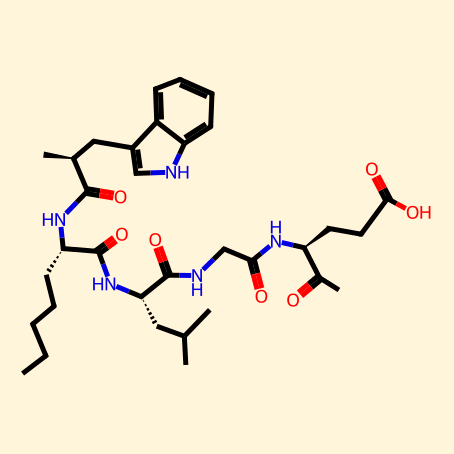 CCCCC[C@H](NC(=O)[C@@H](C)Cc1c[nH]c2ccccc12)C(=O)N[C@@H](CC(C)C)C(=O)NCC(=O)N[C@@H](CCC(=O)O)C(C)=O